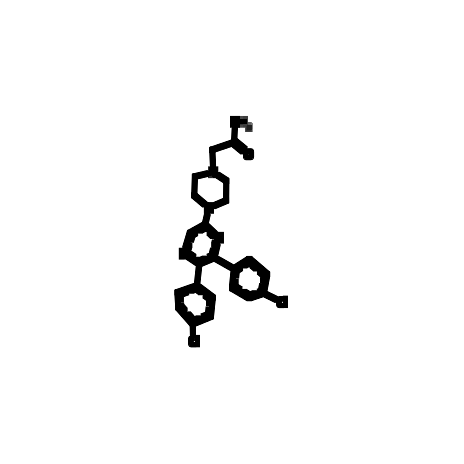 NC(=O)CN1CCN(c2cnc(-c3ccc(Cl)cc3)c(-c3ccc(Cl)cc3)n2)CC1